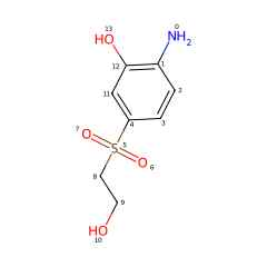 Nc1ccc(S(=O)(=O)CCO)cc1O